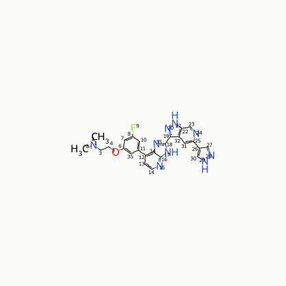 CN(C)CCOc1cc(F)cc(-c2ccnc3[nH]c(-c4n[nH]c5cnc(-c6cn[nH]c6)cc45)nc23)c1